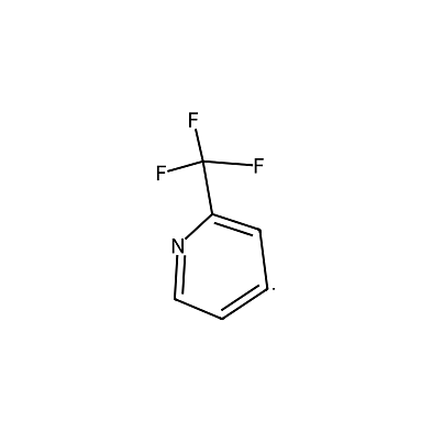 FC(F)(F)c1c[c]ccn1